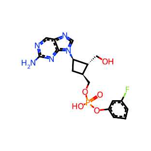 Nc1ncc2ncn([C@@H]3C[C@H](COP(=O)(O)Oc4cccc(F)c4)[C@H]3CO)c2n1